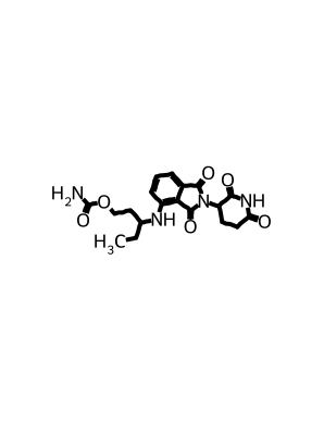 CCC(CCOC(N)=O)Nc1cccc2c1C(=O)N(C1CCC(=O)NC1=O)C2=O